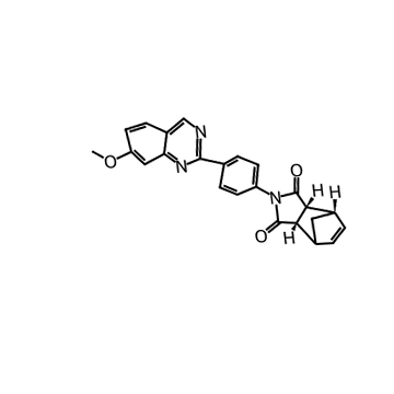 COc1ccc2cnc(-c3ccc(N4C(=O)[C@@H]5[C@@H]6C=CC(C6)[C@@H]5C4=O)cc3)nc2c1